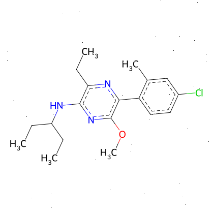 CCc1nc(-c2ccc(Cl)cc2C)c(OC)nc1NC(CC)CC